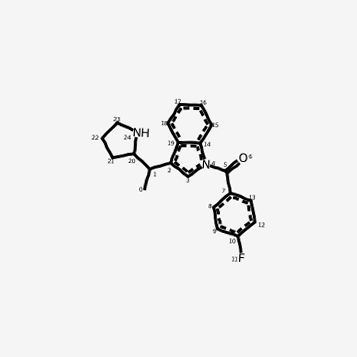 CC(c1cn(C(=O)c2ccc(F)cc2)c2ccccc12)C1CCCN1